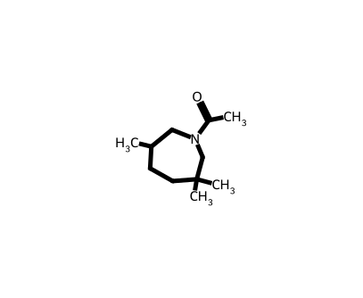 CC(=O)N1CC(C)CCC(C)(C)C1